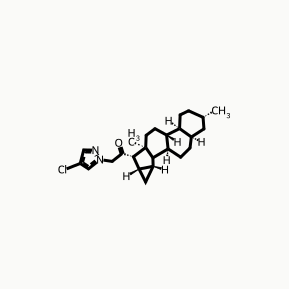 C[C@H]1CC[C@H]2[C@H](CC[C@H]3C4[C@@H]5C[C@@H]5[C@H](C(=O)Cn5cc(Cl)cn5)[C@@]4(C)CC[C@H]23)C1